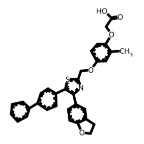 Cc1cc(OCc2nc(-c3ccc4c(c3)CCO4)c(-c3ccc(-c4ccccc4)cc3)s2)ccc1OCC(=O)O